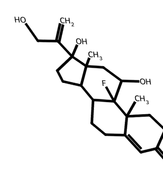 C=C(CO)C1(O)CCC2C3CCC4=CC(=O)CCC4(C)C3(F)C(O)CC21C